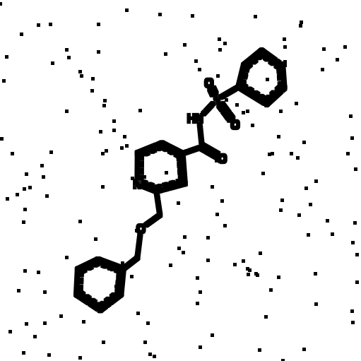 O=C(NS(=O)(=O)c1ccccc1)c1ccnc(COCc2ccccc2)c1